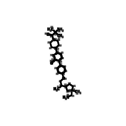 CC(COc1ccc(-n2ccc(N3CCN(C(=O)C(C)(C)N)CC3)nc2=O)cc1)N1CC[PH](C)(CN)C1